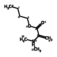 C=C(C(=O)OCCCC)[SiH](C)C